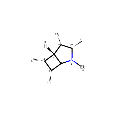 CCN1C2[C@H]([C@@H](C)[C@H]2C)[C@H](C)[C@@H]1C